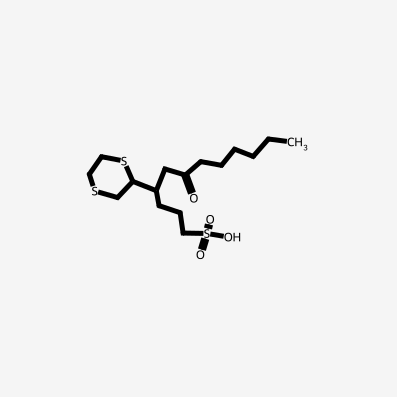 CCCCCCC(=O)CC(CCCS(=O)(=O)O)C1CSCCS1